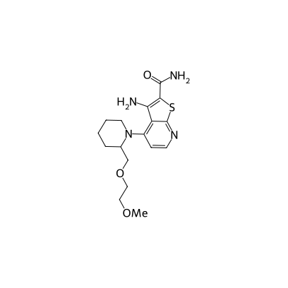 COCCOCC1CCCCN1c1ccnc2sc(C(N)=O)c(N)c12